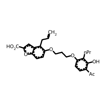 C=CCc1c(OCCCOc2ccc(C(C)=O)c(O)c2CCC)ccc2oc(C(=O)O)cc12